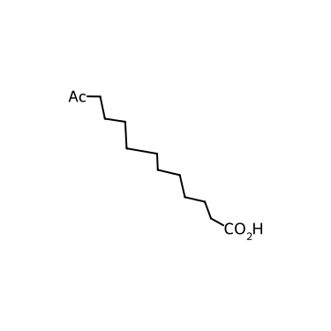 CC(=O)CCCCCCCCCCC(=O)O